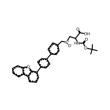 CC(C)(C)OC(=O)NC(C[S+]([O-])Cc1ccc(-c2ccc(-c3cccc4c3oc3ccccc34)cc2)cc1)C(=O)O